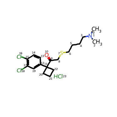 CN(C)CCCCSCC(=O)C1(c2ccc(Cl)c(Cl)c2)CCC1.Cl